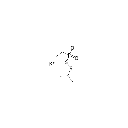 CCP(=O)([O-])SSC(C)C.[K+]